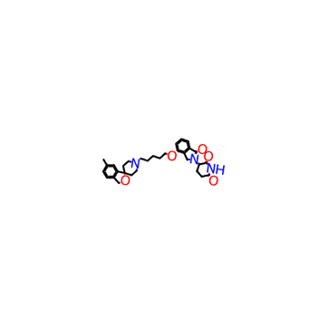 Cc1ccc2c(c1)C1(CCN(CCCCCOc3cccc4c3CN(C3CCC(=O)NC3=O)C4=O)CC1)OC2